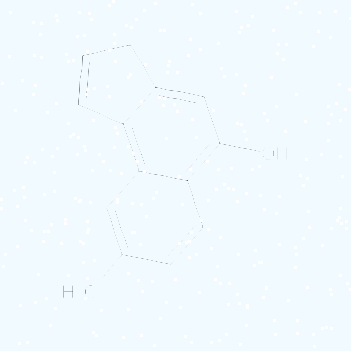 Cc1ccc2c(O)cc3c(c2c1)C=CC3